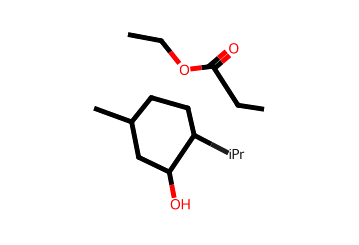 CC1CCC(C(C)C)C(O)C1.CCOC(=O)CC